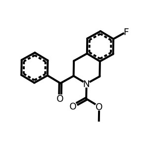 COC(=O)N1Cc2cc(F)ccc2CC1C(=O)c1ccccc1